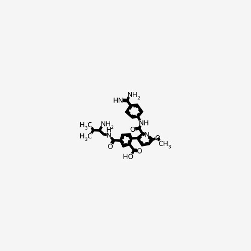 COc1ccc(-c2ccc(C(=O)NCC(N)C(C)C)cc2C(=O)O)c(C(=O)Nc2ccc(C(=N)N)cc2)n1